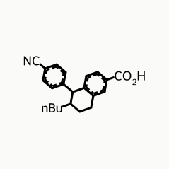 CCCCC1CCc2cc(C(=O)O)ccc2C1c1ccc(C#N)cc1